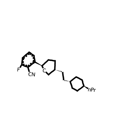 CCC[C@H]1CC[C@H](CC[C@H]2CC[C@H](c3cccc(F)c3C#N)CC2)CC1